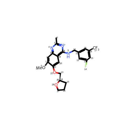 COc1cc2nc(C)nc(NCc3cc(F)cc(C(F)(F)F)c3)c2cc1OC[C@H]1CCCO1